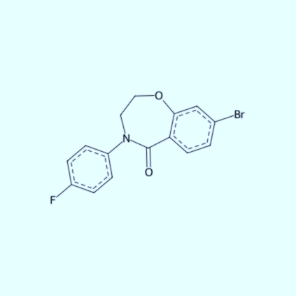 O=C1c2ccc(Br)cc2OCCN1c1ccc(F)cc1